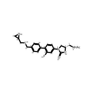 CC(=O)NC[C@H]1CN(c2ccc(-c3ccc(CSCC4CO4)cc3)c(F)c2)C(=O)O1